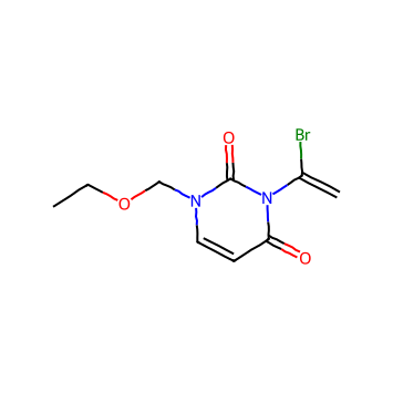 C=C(Br)n1c(=O)ccn(COCC)c1=O